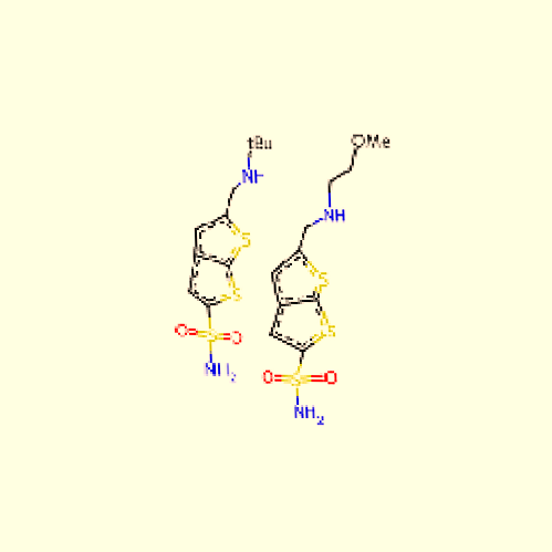 CC(C)(C)NCc1cc2cc(S(N)(=O)=O)sc2s1.COCCNCc1cc2cc(S(N)(=O)=O)sc2s1